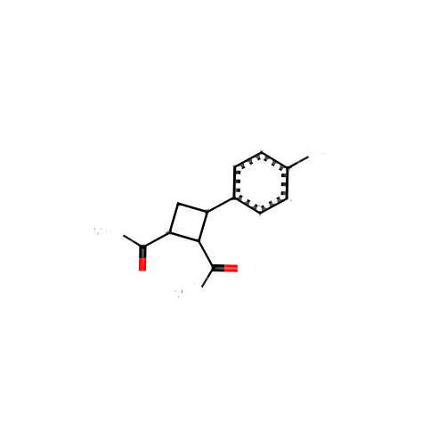 COC(=O)C1CC(c2ccc(C=O)cc2)C1C(=O)OC